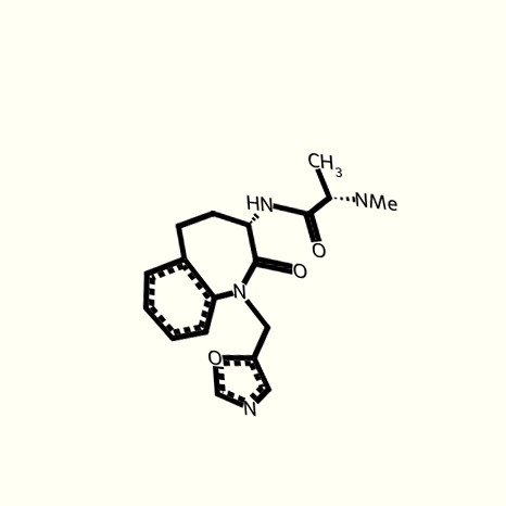 CN[C@@H](C)C(=O)N[C@H]1CCc2ccccc2N(Cc2cnco2)C1=O